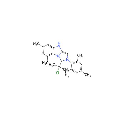 Cc1cc(C)c(N2C=C3Nc4cc(C)cc(C)c4N3C2C(C)(C)Cl)c(C)c1